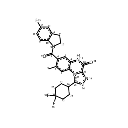 Cc1cc2c(cc1C(=O)N1CCc3cc(F)ccc31)[nH]c(=O)c1nnc(C3CCC(F)(F)CC3)n12